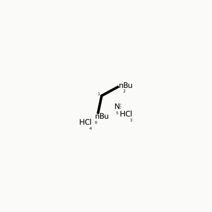 CCCCCCCCC.Cl.Cl.[N]